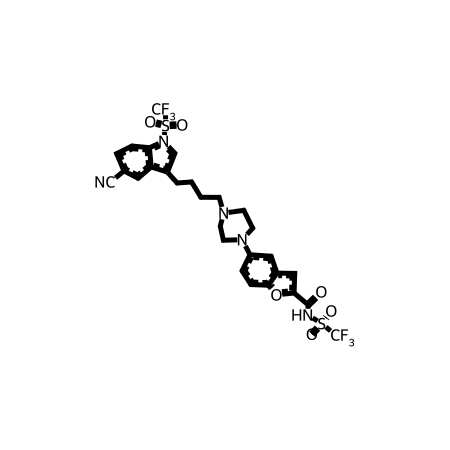 N#Cc1ccc2c(c1)c(CCCCN1CCN(c3ccc4oc(C(=O)NS(=O)(=O)C(F)(F)F)cc4c3)CC1)cn2S(=O)(=O)C(F)(F)F